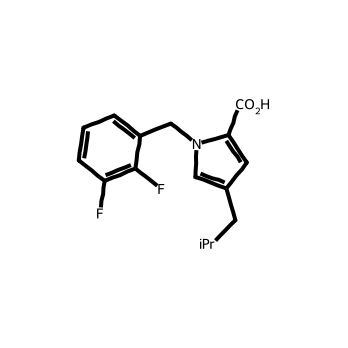 CC(C)Cc1cc(C(=O)O)n(Cc2cccc(F)c2F)c1